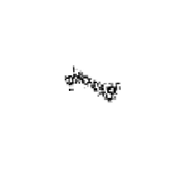 C[C@H](C(=O)N1CCN(c2ccc(S(=O)(=O)Nc3ccnc(Cl)c3)cc2)CC1)N1CCCc2cc(F)ccc21